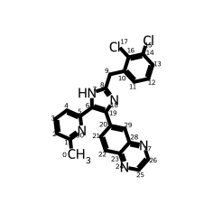 Cc1cccc(-c2[nH]c(Cc3cccc(Cl)c3Cl)nc2-c2ccc3nccnc3c2)n1